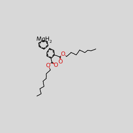 CCCCCCCCOC(=O)c1ccccc1C(=O)OCCCCCCCC.[MgH2].c1ccccc1